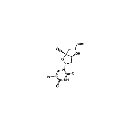 C#C[C@]1(COC=C)O[C@@H](n2cc(Br)c(=O)[nH]c2=O)C[C@@H]1O